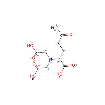 CC(=O)CC[C@H](C(=O)O)N(CC(=O)O)CC(=O)O